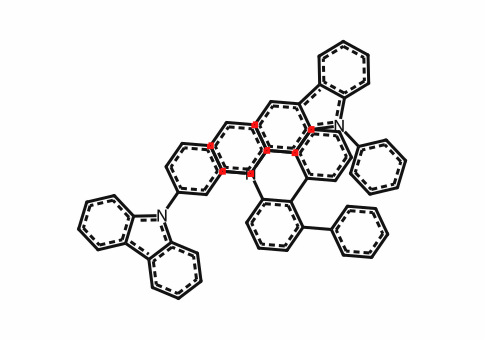 c1ccc(-c2ccccc2-c2c(-c3ccccc3)cccc2N(c2cccc(-n3c4ccccc4c4ccccc43)c2)c2ccc3c4ccccc4n(-c4ccccc4)c3c2)cc1